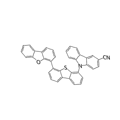 N#Cc1ccc2c(c1)c1ccccc1n2-c1cccc2c1sc1c(-c3cccc4c3oc3ccccc34)cccc12